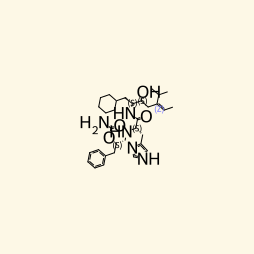 C/C=C(/C[C@H](O)[C@H](CC1CCCCC1)NC(=O)[C@H](Cc1c[nH]cn1)NC[C@H](Cc1ccccc1)OC(N)=O)C(C)C